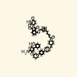 Nc1nnc(-c2ccccc2O)cc1OC1CCCN(c2ccc(N3CCN(CC4CCN(C(=O)CCCCn5cc(COc6cccc7c6C(=O)N(C6CCC(=O)NC6=O)C7=O)nn5)CC4)CC3)cc2)C1